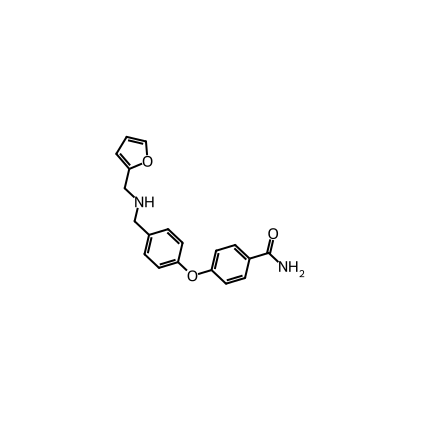 NC(=O)c1ccc(Oc2ccc(CNCc3ccco3)cc2)cc1